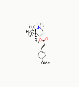 COc1ccc(C=CC(=O)OC2CCN(C)C(C)(C)C2(C)C)cc1